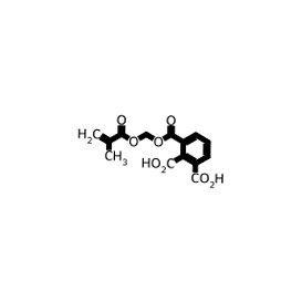 C=C(C)C(=O)OCOC(=O)c1cccc(C(=O)O)c1C(=O)O